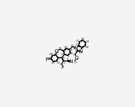 CC/C(C#N)=C1/c2ccc(Cn3c(COC)nc4ccccc43)cc2COc2cc(F)ccc21